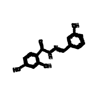 O=C(NN=Cc1cccc(O)c1)c1ccc(O)cc1O